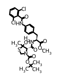 COC(=O)[C@H](Cc1ccc(NC(=O)c2c(Cl)cccc2Cl)cc1)NC(=O)[C@@H]1N(C(=O)OC(C)(C)C)CSC1(C)C